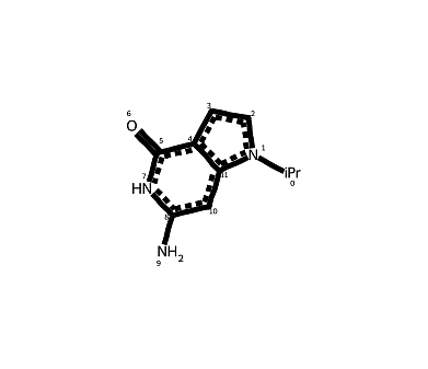 CC(C)n1ccc2c(=O)[nH]c(N)cc21